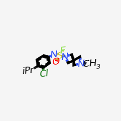 CC(C)c1ccc(N=S(=O)(F)N2CC3(CN(C)C3)C2)cc1Cl